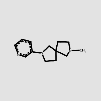 CN1CCC2(CCN(c3cccnc3)C2)C1